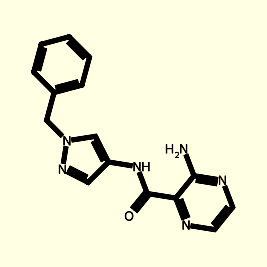 Nc1nccnc1C(=O)Nc1cnn(Cc2ccccc2)c1